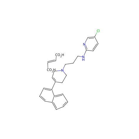 Clc1ccc(NCCCN2CC=C(c3cccc4ccccc34)CC2)nc1.O=C(O)C=CC(=O)O